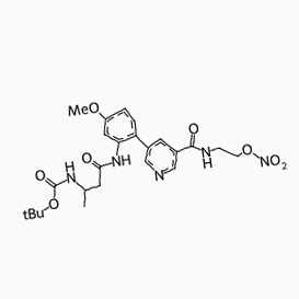 COc1ccc(-c2cncc(C(=O)NCCO[N+](=O)[O-])c2)c(NC(=O)CC(C)NC(=O)OC(C)(C)C)c1